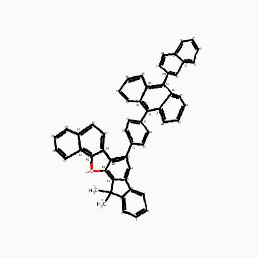 CC1(C)c2ccccc2-c2cc(-c3ccc(-c4c5ccccc5c(-c5ccc6ccccc6c5)c5ccccc45)cc3)c3c(oc4c5ccccc5ccc43)c21